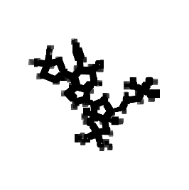 CC1(C)O[C@@H]2[C@H](O1)[C@@H](COCP(=O)(O)O)O[C@H]2n1ncc2c(N3CCC(F)(F)C3)c(C#N)c(Cl)nc21